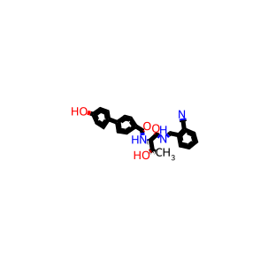 C[C@@H](O)[C@H](NC(=O)c1ccc(-c2ccc(O)cc2)cc1)C(=O)NCc1ccccc1C#N